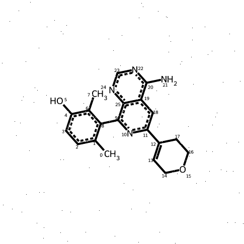 Cc1ccc(O)c(C)c1-c1nc(C2=CCOCC2)cc2c(N)ncnc12